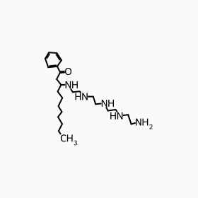 CCCCCCCCC(CC(=O)c1ccccc1)NCCNCCNCCNCCN